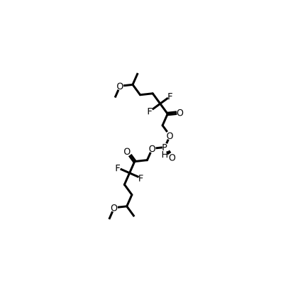 COC(C)CCC(F)(F)C(=O)CO[PH](=O)OCC(=O)C(F)(F)CCC(C)OC